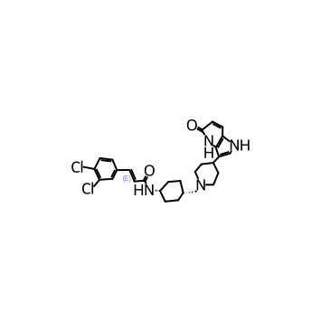 O=C(/C=C/c1ccc(Cl)c(Cl)c1)N[C@H]1CC[C@@H](CN2CCC(c3c[nH]c4ccc(=O)[nH]c34)CC2)CC1